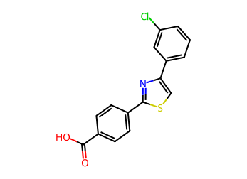 O=C(O)c1ccc(-c2nc(-c3cccc(Cl)c3)cs2)cc1